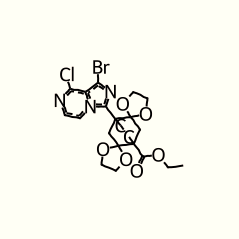 CCOC(=O)C12CCC(c3nc(Br)c4c(Cl)nccn34)(CC13OCCO3)C1(C2)OCCO1